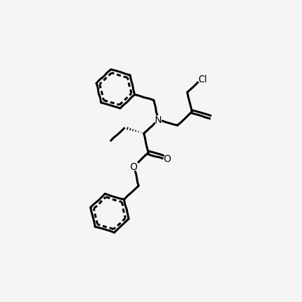 C=C(CCl)CN(Cc1ccccc1)[C@@H](CC)C(=O)OCc1ccccc1